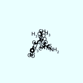 CON=C(C(=O)NC1C(=O)N(OC(=O)C(C)(C)C)C1CCC(=O)OCc1ccc([N+](=O)[O-])cc1)c1csc(N)n1